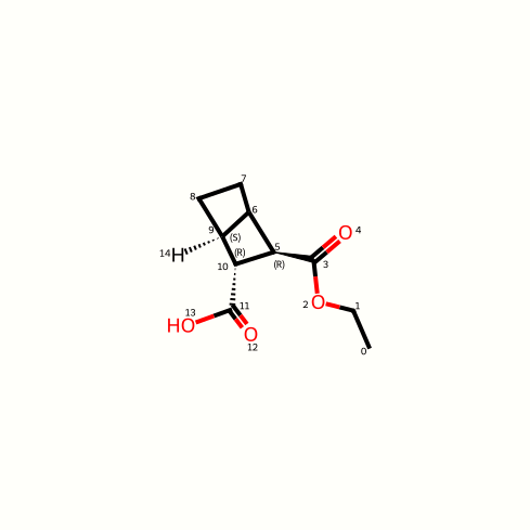 CCOC(=O)[C@@H]1C2CC[C@@H]2[C@H]1C(=O)O